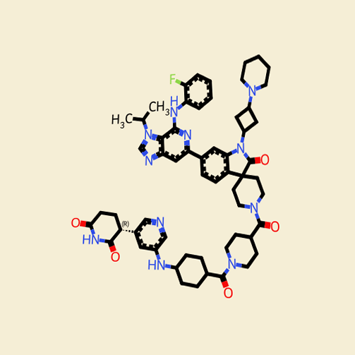 CC(C)n1cnc2cc(-c3ccc4c(c3)N(C3CC(N5CCCCC5)C3)C(=O)C43CCN(C(=O)C4CCN(C(=O)C5CCC(Nc6cncc([C@H]7CCC(=O)NC7=O)c6)CC5)CC4)CC3)nc(Nc3ccccc3F)c21